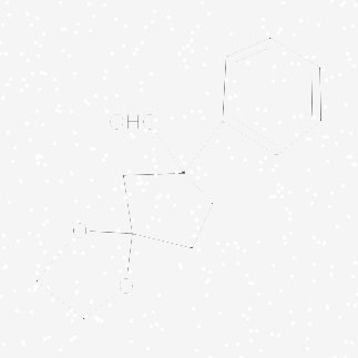 O=CC1(c2ccccc2)CCC2(C1)OCCO2